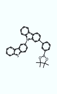 CC1(C)OB(c2cccc(-c3ccc4c5ccccc5n(-c5ccc6sc7ccccc7c6c5)c4c3)c2)OC1(C)C